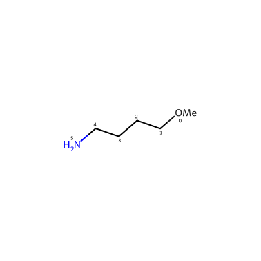 [CH2]OCCCCN